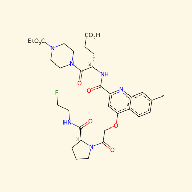 CCOC(=O)N1CCN(C(=O)[C@H](CCC(=O)O)NC(=O)c2cc(OCC(=O)N3CCC[C@H]3C(=O)NCCF)c3ccc(C)cc3n2)CC1